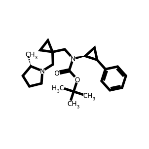 C[C@H]1CCCN1CC1(CN(C(=O)OC(C)(C)C)[C@H]2CC2c2ccccc2)CC1